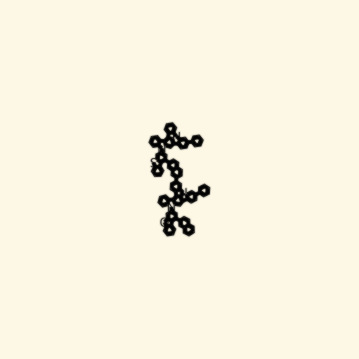 c1ccc(-c2ccc3c4cc5c(c6ccccc6n5-c5cc(-c6ccc7ccc(-c8ccc9c%10c%11c%12ccccc%12n(-c%12cc(-c%13ccc%14ccccc%14c%13)c%13c(c%12)oc%12ccccc%12%13)c%11cc%11c%12ccc(-c%13ccccc%13)cc%12n(c9c8)c%11%10)cc7c6)c6c(c5)sc5ccccc56)c5c6ccccc6n(c3c2)c45)cc1